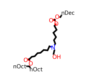 CCCCCCCCCCCOC(=O)OCCCCCCN(CCO)CCCCCCCC(=O)OC(CCCCCCCC)CCCCCCCC